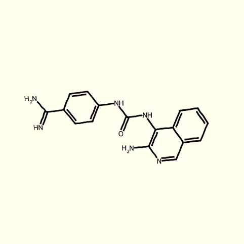 N=C(N)c1ccc(NC(=O)Nc2c(N)ncc3ccccc23)cc1